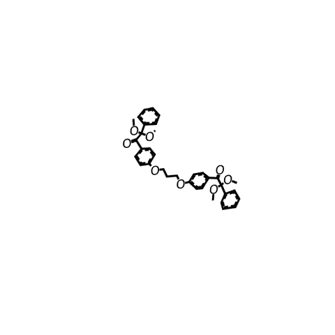 COC(OC)(C(=O)c1ccc(OCCCOc2ccc(C(=O)C(OC)(OC)c3ccccc3)cc2)cc1)c1ccccc1